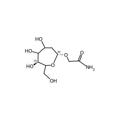 NC(=O)CO[C@H]1CC(O)C(O)[C@H](O)C(CO)O1